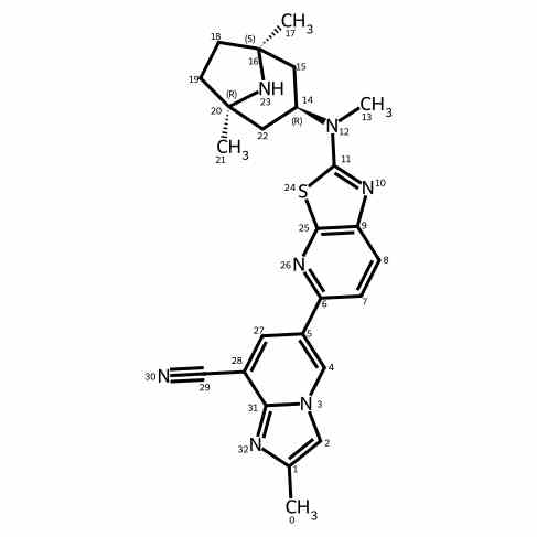 Cc1cn2cc(-c3ccc4nc(N(C)[C@@H]5C[C@]6(C)CC[C@](C)(C5)N6)sc4n3)cc(C#N)c2n1